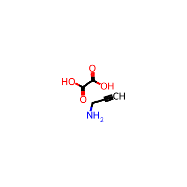 C#CCN.O=C(O)C(=O)O